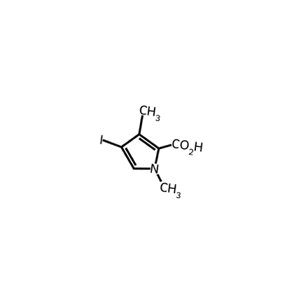 Cc1c(I)cn(C)c1C(=O)O